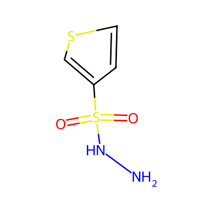 NNS(=O)(=O)c1ccsc1